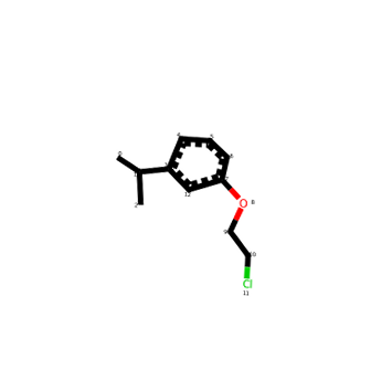 C[C](C)c1cccc(OCCCl)c1